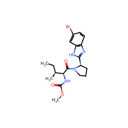 CC[C@H](C)[C@H](NC(=O)OC)C(=O)N1CCC[C@@H]1c1nc2ccc(Br)cc2[nH]1